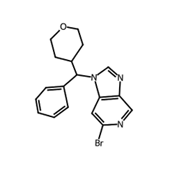 Brc1cc2c(cn1)ncn2C(c1ccccc1)C1CCOCC1